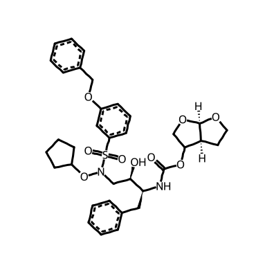 O=C(N[C@@H](Cc1ccccc1)[C@H](O)CN(OC1CCCC1)S(=O)(=O)c1cccc(OCc2ccccc2)c1)OC1CO[C@H]2OCC[C@@H]12